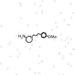 COc1ccc(CCCN2CCCCC(N)C2)cc1